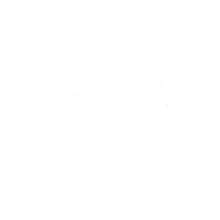 Cn1nnc2ccc(CN3C(=O)C4(COc5cc(O)c(O)cc54)c4ccccc43)cc21